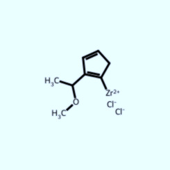 COC(C)C1=[C]([Zr+2])CC=C1.[Cl-].[Cl-]